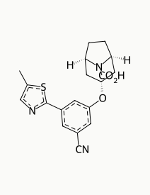 Cc1cnc(-c2cc(C#N)cc(O[C@@H]3C[C@H]4CC[C@@H](C3)N4C(=O)O)c2)s1